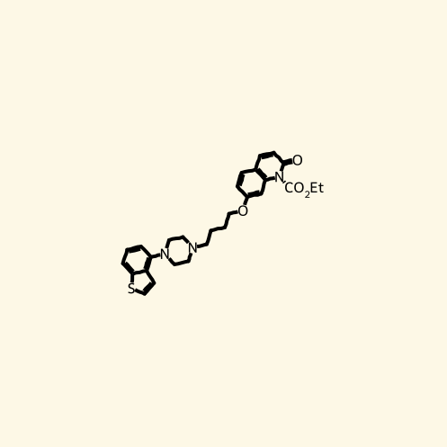 CCOC(=O)n1c(=O)ccc2ccc(OCCCCN3CCN(c4cccc5sccc45)CC3)cc21